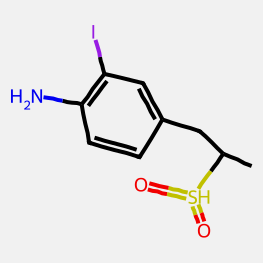 CC(Cc1ccc(N)c(I)c1)[SH](=O)=O